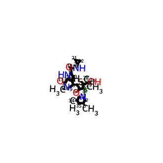 Cc1cnc(Oc2c(-c3cn(C)c(=O)c4[nH]c(C(=O)NC5CC5)cc34)sc(C(C)(C)O)c2F)c(C)c1